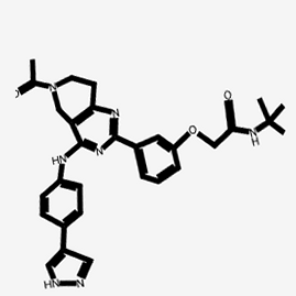 CC(=O)N1CCc2nc(-c3cccc(OCC(=O)NC(C)(C)C)c3)nc(Nc3ccc(-c4cn[nH]c4)cc3)c2C1